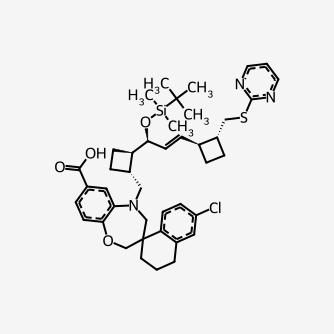 CC(C)(C)[Si](C)(C)O[C@@H](/C=C/[C@@H]1CC[C@H]1CSc1ncccn1)[C@@H]1CC[C@H]1CN1CC2(CCCc3cc(Cl)ccc32)COc2ccc(C(=O)O)cc21